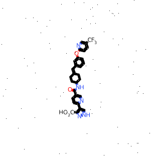 O=C(NC1CCC(=Cc2cccc(Oc3ccc(C(F)(F)F)cn3)c2)CC1)c1ccc(-c2c[nH]nc2C(=O)O)nc1